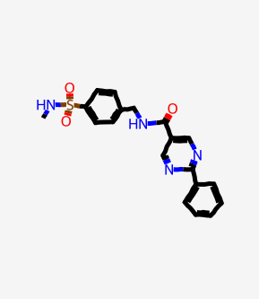 CNS(=O)(=O)c1ccc(CNC(=O)c2cnc(-c3ccccc3)nc2)cc1